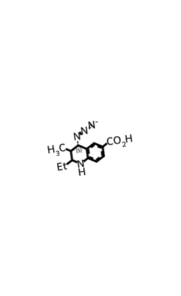 CCC1Nc2ccc(C(=O)O)cc2[C@@H](N=[N+]=[N-])C1C